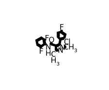 Cc1nn(C)c(-c2ccc(F)cc2Cl)c1C(=O)Nc1c(F)cccc1F